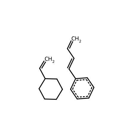 C=CC1CCCCC1.C=CC=Cc1ccccc1